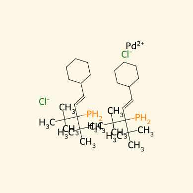 CC(C)(C)C(P)(C=CC1CCCCC1)C(C)(C)C.CC(C)(C)C(P)(C=CC1CCCCC1)C(C)(C)C.[Cl-].[Cl-].[Pd+2]